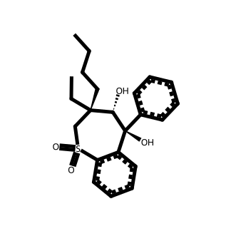 CCCC[C@]1(CC)CS(=O)(=O)c2ccccc2[C@@](O)(c2ccccc2)[C@H]1O